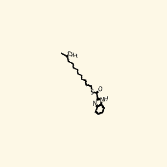 CC(O)CCCCCCCCCCSC(=O)c1nc2ccccc2[nH]1